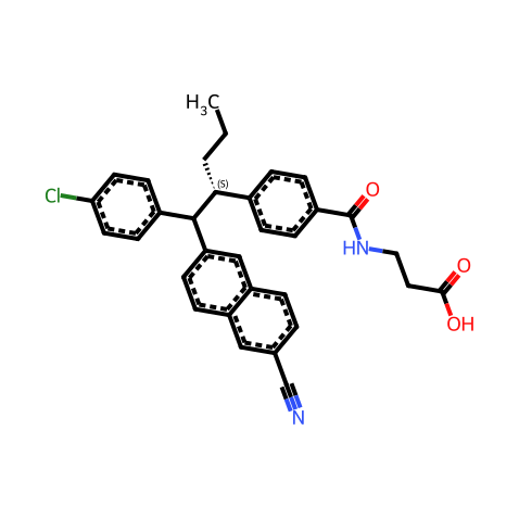 CCC[C@H](c1ccc(C(=O)NCCC(=O)O)cc1)C(c1ccc(Cl)cc1)c1ccc2cc(C#N)ccc2c1